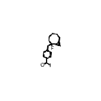 O=C(I)c1ccc(CC2(F)CCCCCC3=CC32)cc1